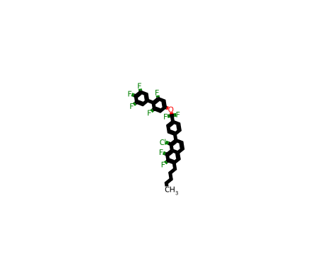 CCCCCc1cc2ccc(-c3ccc(C(F)(F)Oc4cc(F)c(-c5cc(F)c(F)c(F)c5)c(F)c4)cc3)c(Cl)c2c(F)c1F